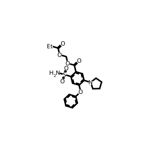 CCC(=O)OCOC(=O)c1cc(N2CCCC2)c(Oc2ccccc2)cc1S(N)(=O)=O